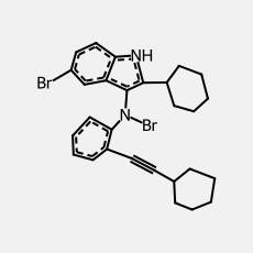 Brc1ccc2[nH]c(C3CCCCC3)c(N(Br)c3ccccc3C#CC3CCCCC3)c2c1